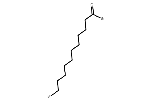 O=C(Br)CCCCCCCCCCBr